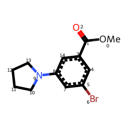 COC(=O)c1cc(Br)cc(N2CCCC2)c1